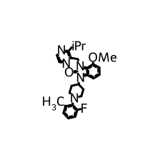 COc1cccc2c1n(Cc1nccnc1C(C)C)c(=O)n2C1CCN(c2c(C)cccc2F)CC1